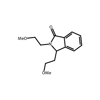 COCCC1c2ccccc2C(=O)N1CCOC